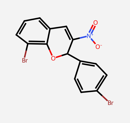 O=[N+]([O-])C1=Cc2cccc(Br)c2OC1c1ccc(Br)cc1